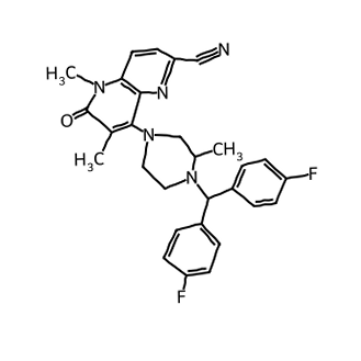 Cc1c(N2CCN(C(c3ccc(F)cc3)c3ccc(F)cc3)C(C)C2)c2nc(C#N)ccc2n(C)c1=O